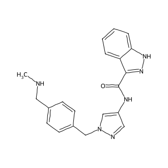 CNCc1ccc(Cn2cc(NC(=O)c3n[nH]c4ccccc34)cn2)cc1